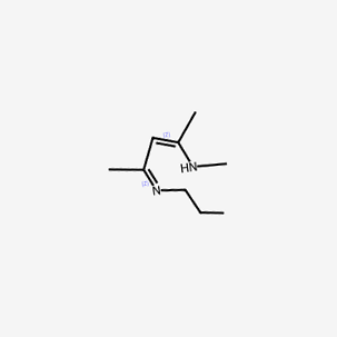 CCC/N=C(C)\C=C(\C)NC